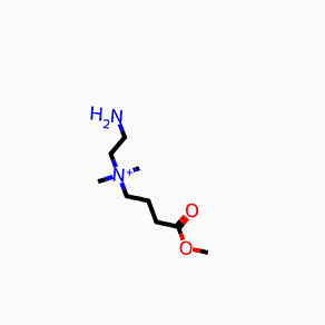 COC(=O)CCC[N+](C)(C)CCN